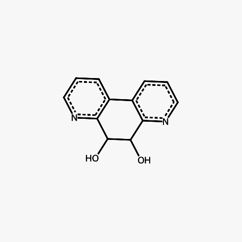 OC1c2ncccc2-c2cccnc2C1O